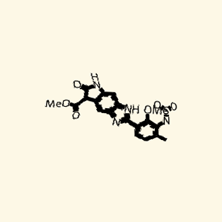 COC(=O)C1C(=O)Nc2cc3[nH]c(-c4ccc(C)c(N=S(=O)=O)c4OC)nc3cc21